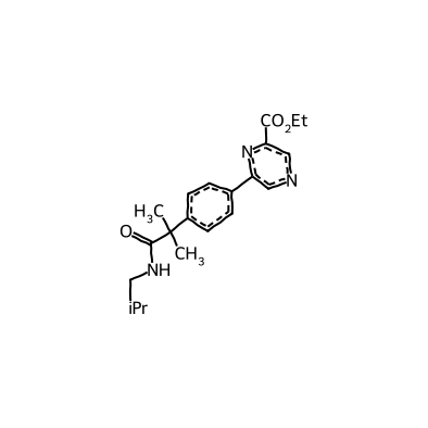 CCOC(=O)c1cncc(-c2ccc(C(C)(C)C(=O)NCC(C)C)cc2)n1